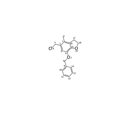 Cc1c(CCl)cc(OCc2ccccc2)c2c1CCO2